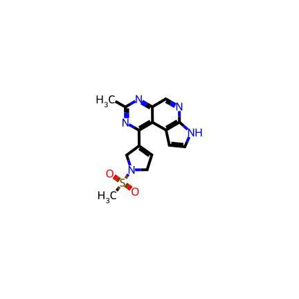 Cc1nc(C2=CCN(S(C)(=O)=O)C2)c2c(cnc3[nH]ccc32)n1